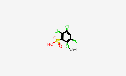 O=S(=O)(O)c1c(Cl)c(Cl)cc(Cl)c1Cl.[NaH]